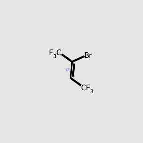 FC(F)(F)/C=C(\Br)C(F)(F)F